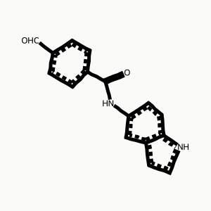 O=Cc1ccc(C(=O)Nc2ccc3[nH]ccc3c2)cc1